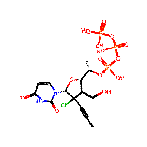 CC#CC1(Cl)C(CO)[C@@H]([C@H](C)OP(=O)(O)OP(=O)(O)OP(=O)(O)O)O[C@H]1n1ccc(=O)[nH]c1=O